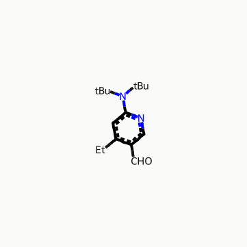 CCc1cc(N(C(C)(C)C)C(C)(C)C)ncc1C=O